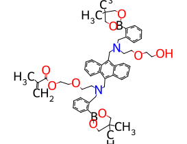 C=C(C)C(=O)OCCOCCN(Cc1ccccc1B1OCC(C)(C)CO1)Cc1c2ccccc2c(CN(CCOCCO)Cc2ccccc2B2OCC(C)(C)CO2)c2ccccc12